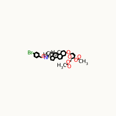 CC(=O)OC[C@H]1OC(OC2CC[C@@]3(C)C(=CCC4C3CC[C@@]3(C)C4CC[C@@H]3/C(C)=N/OCc3ccc(Br)cc3)C2)C=C[C@@H]1OC(C)=O